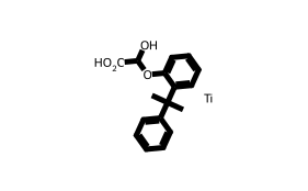 CC(C)(c1ccccc1)c1ccccc1OC(O)C(=O)O.[Ti]